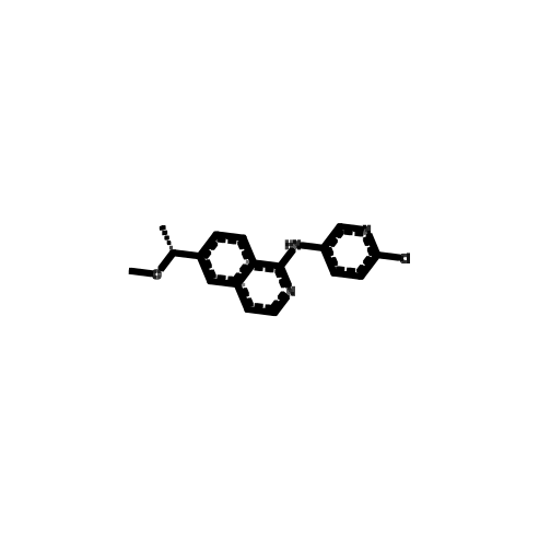 CO[C@H](C)c1ccc2c(Nc3ccc(Cl)nc3)nccc2c1